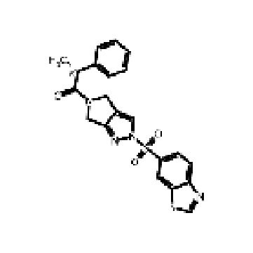 C[C@@H](C(=O)N1Cc2cn(S(=O)(=O)c3ccc4ncsc4c3)nc2C1)c1ccccc1